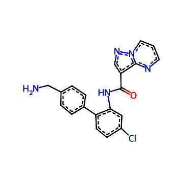 NCc1ccc(-c2ccc(Cl)cc2NC(=O)c2cnn3cccnc23)cc1